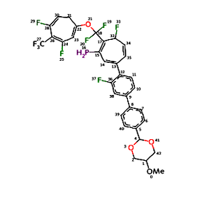 COC1COC(c2ccc(-c3ccc(C4=CC(P)=C(C(F)(F)OC5=CC(F)=C(C(F)(F)F)C(F)=CC5)C(F)C=C4)c(F)c3)cc2)OC1